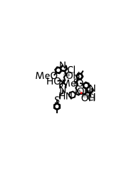 COc1ccc2ncc(Cl)c([C@H](O)CCC3(CO)CCN(CCCSc4ccc(C)cc4)CC3)c2c1.COc1ccc2ncc(Cl)c([C@H](O)CCC3([C@@H](O)CCSc4ccc(C)cc4)CCNCC3)c2c1